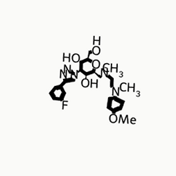 COc1ccc(N(C)CCN(C)C[C@@H]2O[C@H](CO)[C@H](O)[C@H](n3cc(-c4cccc(F)c4)nn3)[C@H]2O)cc1